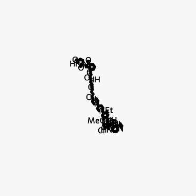 CCc1cc(Nc2ncc(Cl)c(Nc3ccc4nccnc4c3NS(C)(=O)=O)n2)c(OC)cc1N1CCC(N2CCN(C(=O)CCCOCCNC(=O)COc3cccc4c3CN(C3CCC(=O)NC3=O)C4=O)CC2)CC1